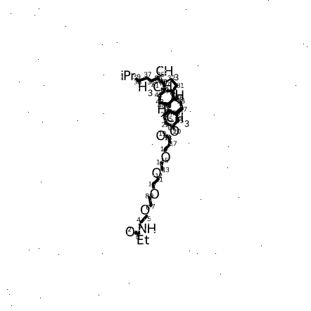 CCC(=O)NCCOCCOCCOCCOCCC(=O)O[C@H]1CC[C@@]2(C)C(=CC[C@H]3[C@@H]4CC[C@H]([C@H](C)CCCC(C)C)[C@@]4(C)CC[C@@H]32)C1